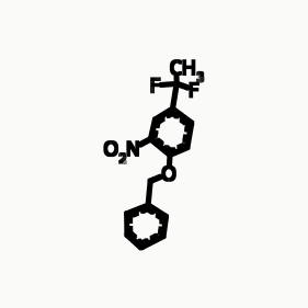 CC(F)(F)c1ccc(OCc2ccccc2)c([N+](=O)[O-])c1